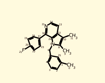 Cc1cccc(Cn2c(C)c(C)c3ccnc(-c4ccc(F)cc4)c32)c1